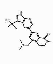 CN(C)Cc1cc(-c2cnc3[nH]cc(C(C)(C)C#N)c3c2)cc2c1CCN(C)C2=O